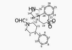 O=CN1CCC(c2ccccc2)CC1[C@@H]1CNC[C@]12CCS(=O)(=O)c1ccccc12